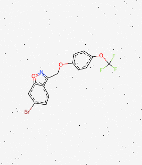 FC(F)(F)Oc1ccc(OCc2noc3cc(Br)ccc23)cc1